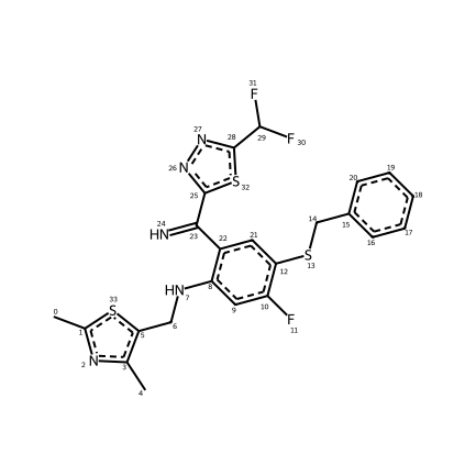 Cc1nc(C)c(CNc2cc(F)c(SCc3ccccc3)cc2C(=N)c2nnc(C(F)F)s2)s1